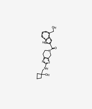 O=C(c1cc2c(CO)cccc2[nH]1)N1CCc2nc(NCC3(O)CCC3)sc2C1